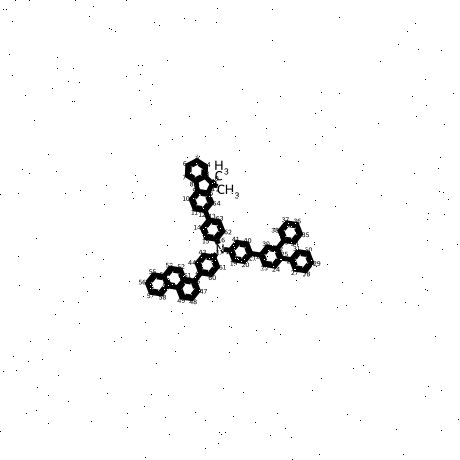 CC1(C)c2ccccc2-c2ccc(-c3ccc(N(c4ccc(-c5ccc(-c6ccccc6)c(-c6ccccc6)c5)cc4)c4ccc(-c5cccc6c5ccc5ccccc56)cc4)cc3)cc21